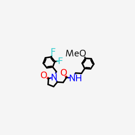 COc1cccc(CCNC(=O)CC2CCC(=O)N2Cc2cccc(F)c2F)c1